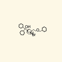 OC(c1ccccc1)(c1ccccc1)C12CC[N+](Br)(CC1)C(CCOCc1ccccc1)C2